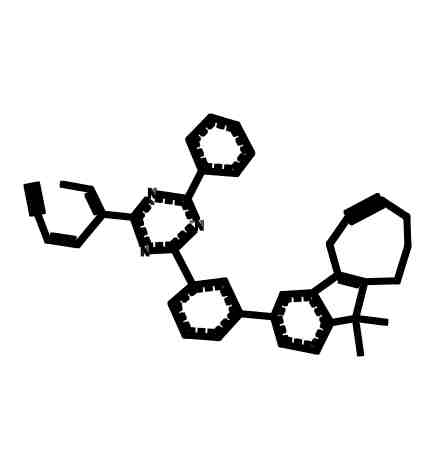 C#C/C=C\C(=C/C)c1nc(-c2ccccc2)nc(-c2cccc(-c3ccc4c(c3)C3=C(CCCC#CC3)C4(C)C)c2)n1